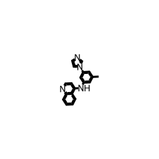 Cc1cc(Nc2ccnc3ccccc23)cc(-n2ccnc2)c1